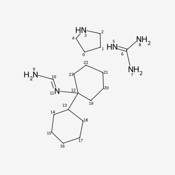 C1CCNC1.N=C(N)N.NC=NC1(C2CCCCC2)CCCCC1